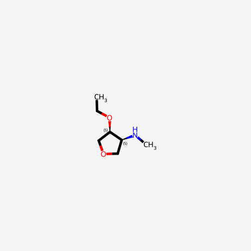 CCO[C@@H]1COC[C@@H]1NC